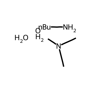 CCCCN.CN(C)C.O.O